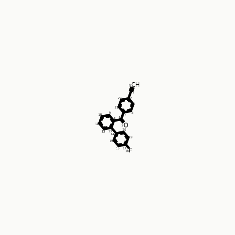 C#Cc1ccc(C(=O)c2ccccc2-c2ccc(F)cc2)cc1